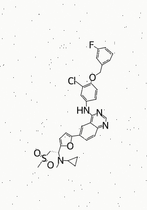 CN(C1CC1)[C@H](CS(C)(=O)=O)c1ccc(-c2ccc3ncnc(Nc4ccc(OCc5cccc(F)c5)c(Cl)c4)c3c2)o1